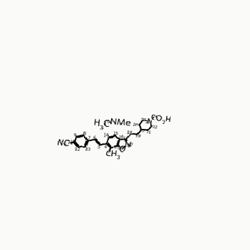 CNC.Cc1c(C=Cc2ccc(C#N)cc2)ccc2c(CCC3CCN(C(=O)O)CC3)noc12